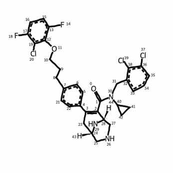 O=C(C1=C(c2ccc(CCCOc3c(F)ccc(F)c3Cl)cc2)C[C@H]2CNC[C@@H]1N2)N(Cc1cccc(Cl)c1Cl)C1CC1